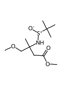 COCC(C)(CC(=O)OC)N[S+]([O-])C(C)(C)C